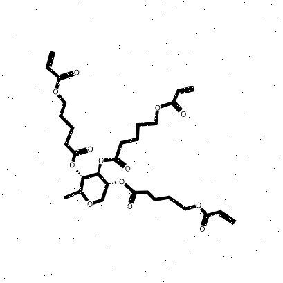 C=CC(=O)OCCCCC(=O)O[C@H]1[C@H](OC(=O)CCCCOC(=O)C=C)COC(C)[C@@H]1OC(=O)CCCCOC(=O)C=C